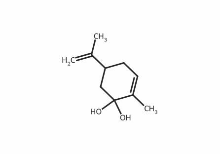 C=C(C)C1CC=C(C)C(O)(O)C1